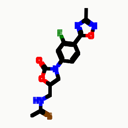 CC(=S)NCC1CN(c2ccc(-c3nc(C)no3)c(F)c2)C(=O)O1